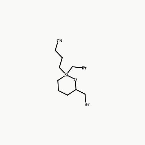 CC(C)CC1CCC[Si](CCCC#N)(CC(C)C)O1